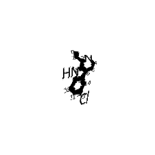 C=Cc1nccc2c1[nH]c1ccc(Cl)cc12